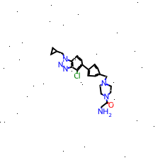 NCC(=O)N1CCN(Cc2ccc(-c3ccc4c(nnn4CC4CC4)c3Cl)cc2)CC1